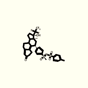 Cc1ccc(S(=O)(=O)N=[S@](C)(=O)c2ccc([C@H]3C[C@@]4(C)C(CC[C@@]4(O)C(F)(F)C(F)(F)F)C4CCC5=CC(=O)CCC5=C43)cc2)cc1